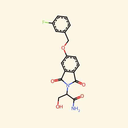 NC(=O)C(CO)N1C(=O)c2ccc(OCc3cccc(F)c3)cc2C1=O